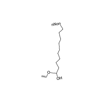 C=COC(O)CCCCCCCCCCCCCCCCCC